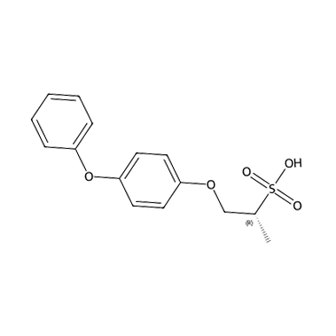 C[C@H](COc1ccc(Oc2ccccc2)cc1)S(=O)(=O)O